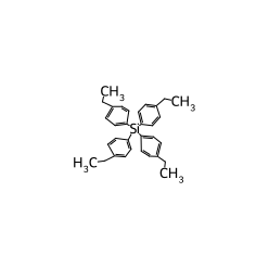 CCc1ccc([Si](c2ccc(CC)cc2)(c2ccc(CC)cc2)c2ccc(CC)cc2)cc1